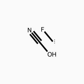 N#CO.[C]F